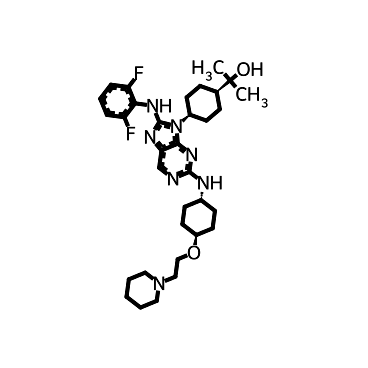 CC(C)(O)[C@H]1CC[C@@H](n2c(Nc3c(F)cccc3F)nc3cnc(N[C@H]4CC[C@H](OCCN5CCCCC5)CC4)nc32)CC1